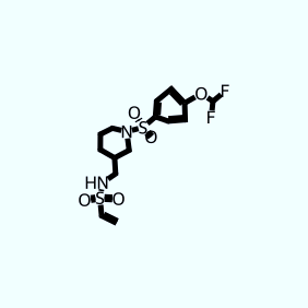 C=CS(=O)(=O)NCC1CCCN(S(=O)(=O)c2ccc(OC(F)F)cc2)C1